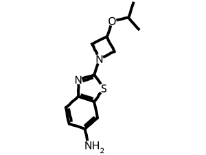 CC(C)OC1CN(c2nc3ccc(N)cc3s2)C1